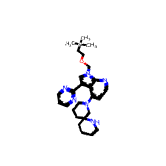 C[Si](C)(C)CCOCn1cc(-c2ncccn2)c2c(N3CCCC4(CCCCN4)C3)ccnc21